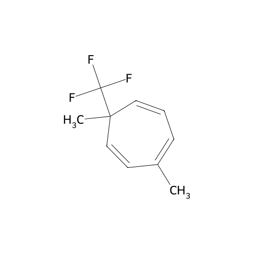 CC1=CC=CC(C)(C(F)(F)F)C=C1